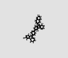 Cc1ccc2c(c1)c1ccccc1n2-c1ccc(-c2ccc3c(c2)c2c(n3-c3ccc4ccccc4c3)=CCCC=2)cc1